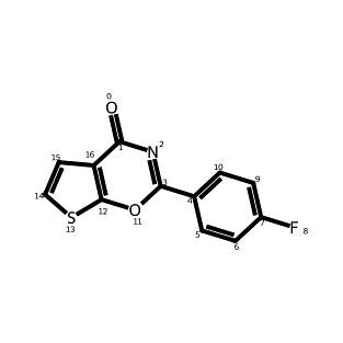 O=c1nc(-c2ccc(F)cc2)oc2sccc12